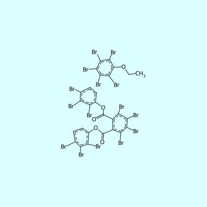 CCOc1c(Br)c(Br)c(Br)c(Br)c1Br.O=C(Oc1ccc(Br)c(Br)c1Br)c1c(Br)c(Br)c(Br)c(Br)c1C(=O)Oc1ccc(Br)c(Br)c1Br